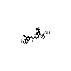 C#Cc1cc(CNC(=O)/C=C\c2ccc(C(F)(F)F)nc2N2CCCC2CO)cc(F)c1NS(C)(=O)=O